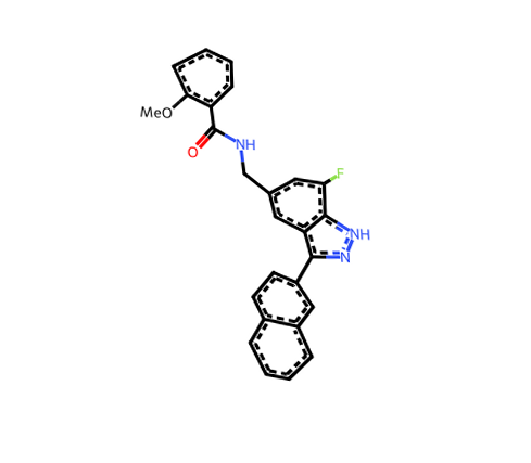 COc1ccccc1C(=O)NCc1cc(F)c2[nH]nc(-c3ccc4ccccc4c3)c2c1